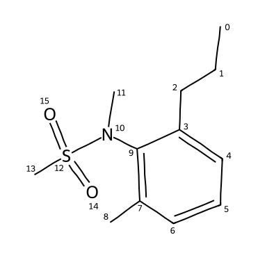 CCCc1cccc(C)c1N(C)S(C)(=O)=O